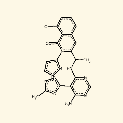 Cc1nnc(-c2c(N)ncnc2NC(C)c2cc3cccc(Cl)c3c(=O)n2-c2cc[nH]n2)o1